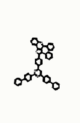 c1ccc(-c2ccc(-c3cc(-c4ccc(-c5sc6c(c(-c7ccccc7)nc7ccccc76)c5-c5ccccc5)cc4)nc(-c4ccc(-c5ccccc5)cc4)n3)cc2)cc1